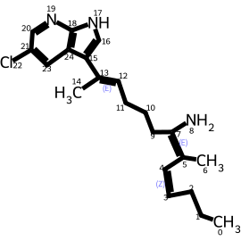 CCC/C=C\C(C)=C(\N)CCC/C=C(\C)c1c[nH]c2ncc(Cl)cc12